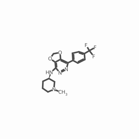 CN1CCC[C@@H](Nc2nnc(-c3ccc(C(F)(F)F)cc3)c3c2OCO3)C1